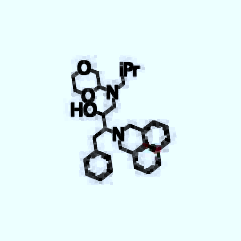 CC(C)CN(CC(O)C(Cc1ccccc1)N(Cc1ccccc1)Cc1ccccc1)C1COCCO1